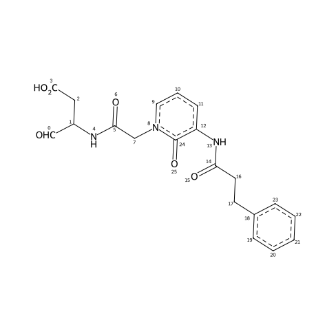 O=CC(CC(=O)O)NC(=O)Cn1cccc(NC(=O)CCc2ccccc2)c1=O